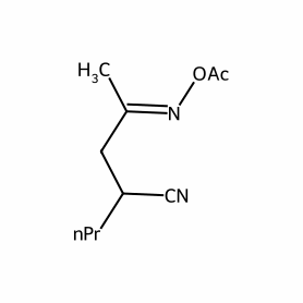 CCCC(C#N)CC(C)=NOC(C)=O